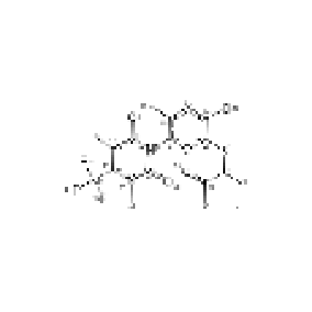 CCC(Sc1cc(-n2c(=O)c(C)c(C(F)(F)F)n(C)c2=O)c(F)cc1Cl)C(C)=O